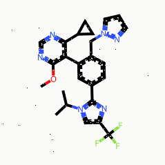 COc1ncnc(C2CC2)c1-c1cc(-c2nc(C(F)(F)F)cn2C(C)C)ccc1Cn1cccn1